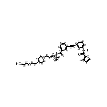 Cc1ccoc1C(=O)Nc1cccc(C#Cc2cncc(C(=O)N=[SH](C)(O)CCCN3CCN(CCOCCO)CC3)c2)c1